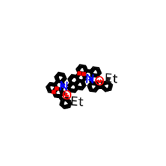 CCc1cccc2c1oc1c(N(c3ccccc3-c3ccccc3)c3ccc4ccc5c(N(c6ccccc6-c6ccccc6)c6cccc7c6oc6c(CC)cccc67)ccc6ccc3c4c65)cccc12